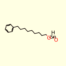 [O]=[SnH][O]CCCCCCCCCc1ccccc1